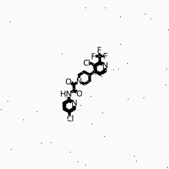 O=C(Nc1ccc(Cl)cn1)C(=O)N1CCC(c2ccnc(C(F)(F)F)c2Cl)CC1